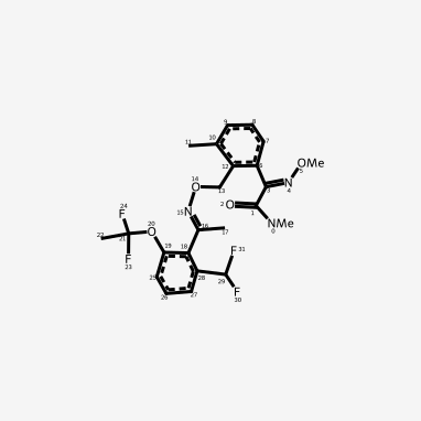 CNC(=O)/C(=N/OC)c1cccc(C)c1CO/N=C(\C)c1c(OC(C)(F)F)cccc1C(F)F